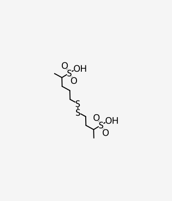 CC(CCCSSCCC(C)S(=O)(=O)O)S(=O)(=O)O